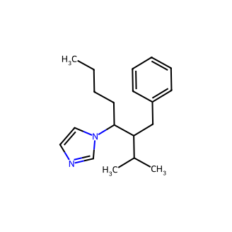 CCCCC(C(Cc1ccccc1)C(C)C)n1ccnc1